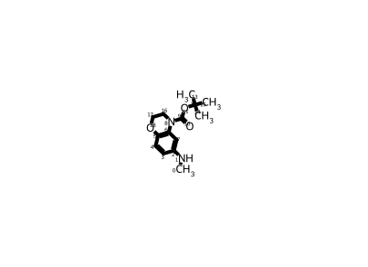 CNc1ccc2c(c1)N(C(=O)OC(C)(C)C)CCO2